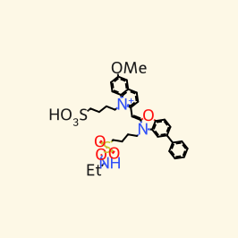 CCNOS(=O)(=O)CCCCN1/C(=C/c2ccc3cc(OC)ccc3[n+]2CCCCS(=O)(=O)O)Oc2ccc(-c3ccccc3)cc21